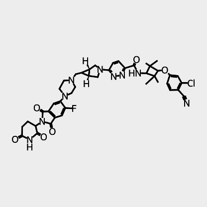 CC1(C)C(NC(=O)c2ccc(N3C[C@@H]4C(CN5CCN(c6cc7c(cc6F)C(=O)N(C6CCC(=O)NC6=O)C7=O)CC5)[C@@H]4C3)nn2)C(C)(C)C1Oc1ccc(C#N)c(Cl)c1